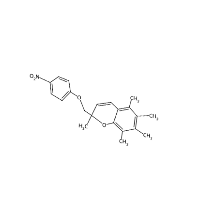 Cc1c(C)c(C)c2c(c1C)C=CC(C)(COc1ccc([N+](=O)[O-])cc1)O2